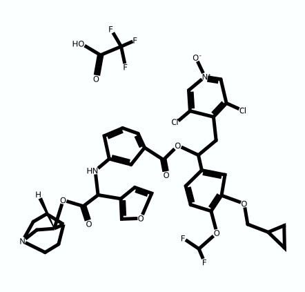 O=C(O)C(F)(F)F.O=C(OC(Cc1c(Cl)c[n+]([O-])cc1Cl)c1ccc(OC(F)F)c(OCC2CC2)c1)c1cccc(NC(C(=O)O[C@H]2CN3CCC2CC3)c2ccoc2)c1